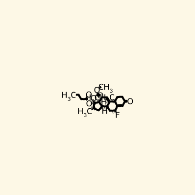 CCCC(=O)O[C@@]1(OC(=O)OC)[C@H](C)C[C@H]2[C@@H]3C[C@H](F)C4=CC(=O)CC[C@]4(C)C3=CC[C@@]21C